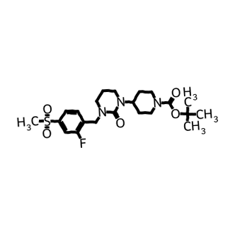 CC(C)(C)OC(=O)N1CCC(N2CCCN(Cc3ccc(S(C)(=O)=O)cc3F)C2=O)CC1